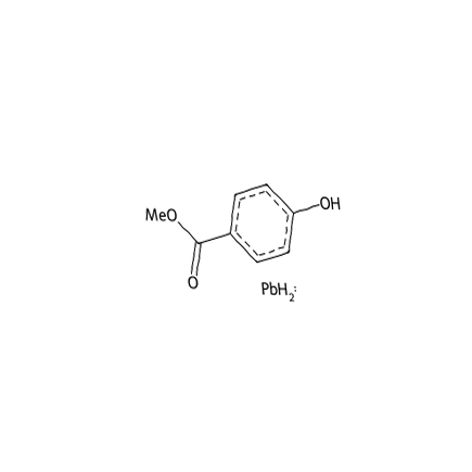 COC(=O)c1ccc(O)cc1.[PbH2]